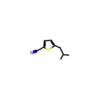 CC(C)Cc1ccc(C#N)s1